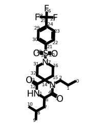 CCCN1C(=O)C(CC(C)C)NC(=O)C12CCN(S(=O)(=O)c1ccc(C(F)(F)F)cc1)CC2